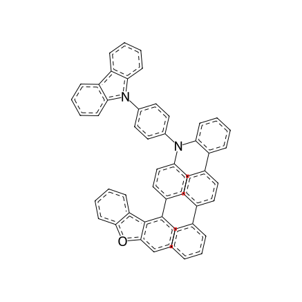 c1ccc(-c2ccc(-c3ccccc3N(c3ccc(-c4cccc5oc6ccccc6c45)cc3)c3ccc(-n4c5ccccc5c5ccccc54)cc3)cc2)cc1